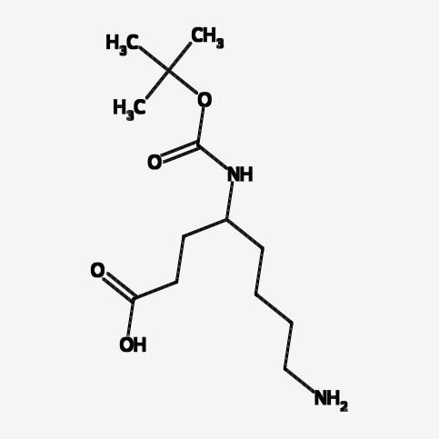 CC(C)(C)OC(=O)NC(CCCCN)CCC(=O)O